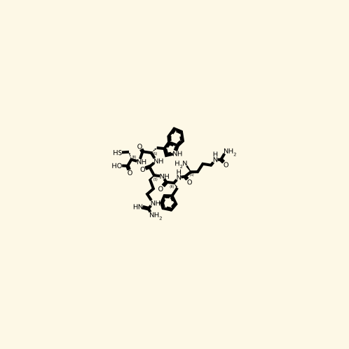 N=C(N)NCCC[C@H](NC(=O)[C@@H](Cc1ccccc1)NC(=O)[C@@H](N)CCCNC(N)=O)C(=O)N[C@@H](Cc1c[nH]c2ccccc12)C(=O)N[C@@H](CS)C(=O)O